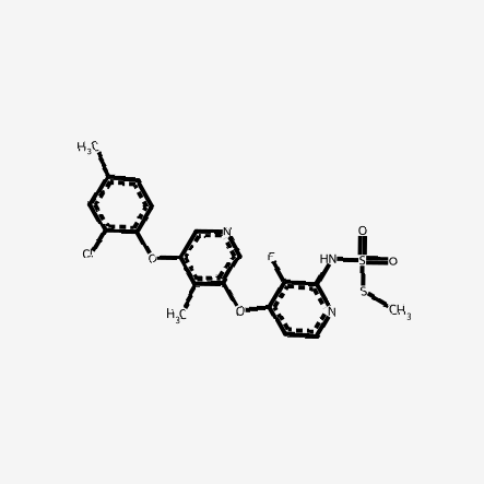 CSS(=O)(=O)Nc1nccc(Oc2cncc(Oc3ccc(C)cc3Cl)c2C)c1F